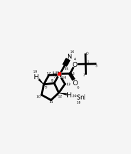 CC(C)(C)OC(=O)NC1[C@@H]2CC[C@H]1CN(C#N)C2.[Sn]